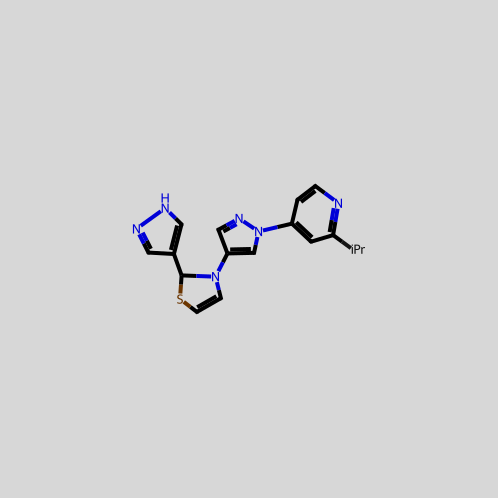 CC(C)c1cc(-n2cc(N3C=CSC3c3cn[nH]c3)cn2)ccn1